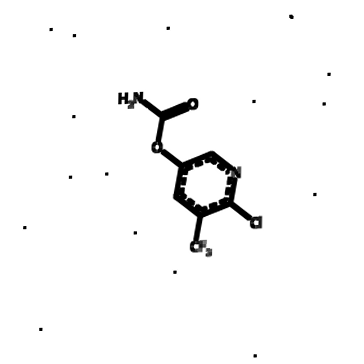 NC(=O)Oc1cnc(Cl)c(C(F)(F)F)c1